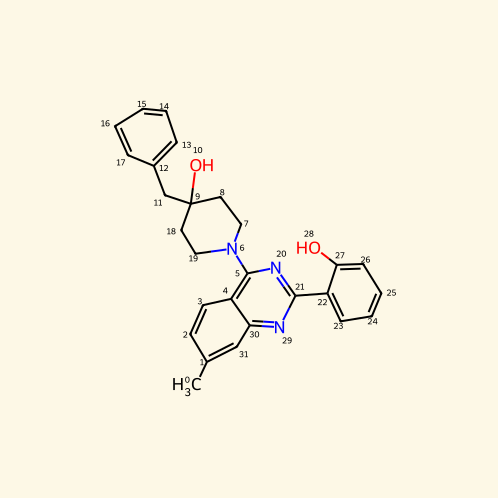 Cc1ccc2c(N3CCC(O)(Cc4ccccc4)CC3)nc(-c3ccccc3O)nc2c1